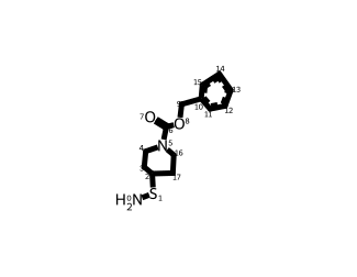 NSC1CCN(C(=O)OCc2ccccc2)CC1